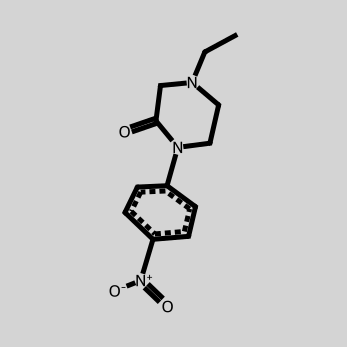 CCN1CCN(c2ccc([N+](=O)[O-])cc2)C(=O)C1